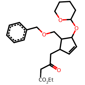 CCOC(=O)CC(=O)CC1C=CC(OC2CCCCO2)C1COCc1ccccc1